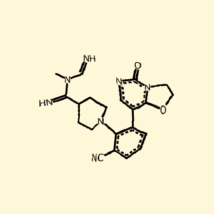 CN(C=N)C(=N)C1CCN(c2c(C#N)cccc2-c2cnc(=O)n3c2OCC3)CC1